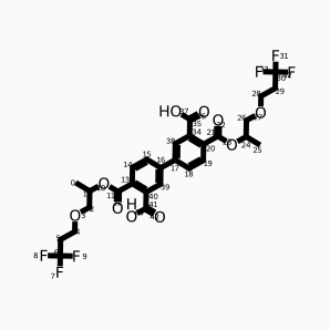 CC(COCCC(F)(F)F)OC(=O)c1ccc(-c2ccc(C(=O)OC(C)COCCC(F)(F)F)c(C(=O)O)c2)cc1C(=O)O